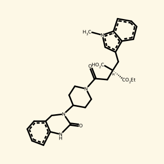 CCOC(=O)[C@@](CC(=O)N1CCC(N2Cc3ccccc3NC2=O)CC1)(Cc1cn(C)c2ccccc12)C(=O)O